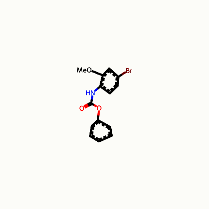 COc1cc(Br)ccc1NC(=O)Oc1ccccc1